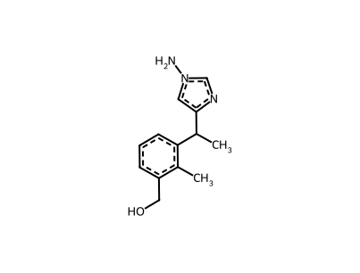 Cc1c(CO)cccc1C(C)c1cn(N)cn1